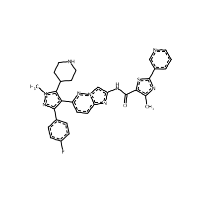 Cc1nc(-c2cccnc2)sc1C(=O)Nc1cn2nc(-c3c(-c4ccc(F)cc4)nn(C)c3C3CCNCC3)ccc2n1